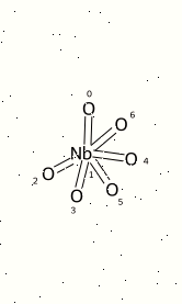 [O]=[Nb](=[O])(=[O])(=[O])(=[O])=[O]